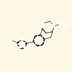 CN1CC[C@@]23CCCCC2[C@@H]1Cc1ccc(-c2nnc(N)s2)cc13